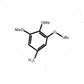 CCCCOc1[c]c(C)cc(OC)c1OC